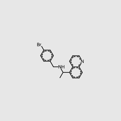 CC(NCc1ccc(Br)cc1)c1cccc2ncccc12